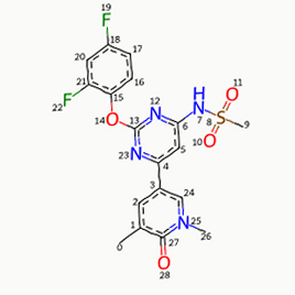 Cc1cc(-c2cc(NS(C)(=O)=O)nc(Oc3ccc(F)cc3F)n2)cn(C)c1=O